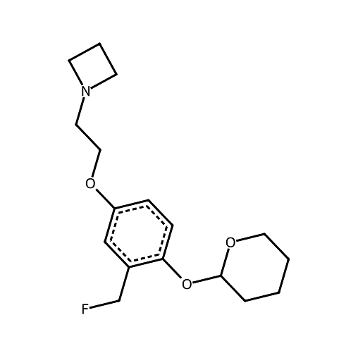 FCc1cc(OCCN2CCC2)ccc1OC1CCCCO1